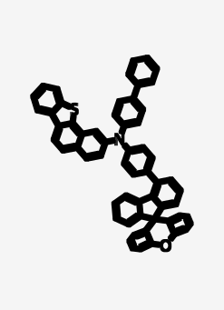 c1ccc(-c2ccc(N(c3ccc(-c4cccc5c4-c4ccccc4C54c5ccccc5Oc5ccccc54)cc3)c3ccc4ccc5c6ccccc6sc5c4c3)cc2)cc1